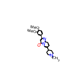 COc1ccc(-c2cc(=O)n3cc(C4CCN(C)CC4)ccc3n2)cc1OC